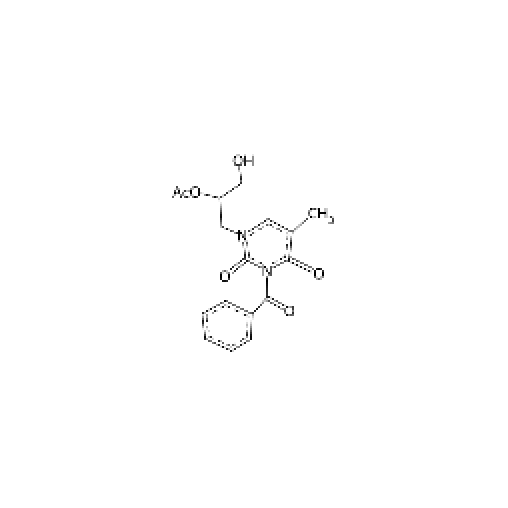 CC(=O)OC(CO)Cn1cc(C)c(=O)n(C(=O)c2ccccc2)c1=O